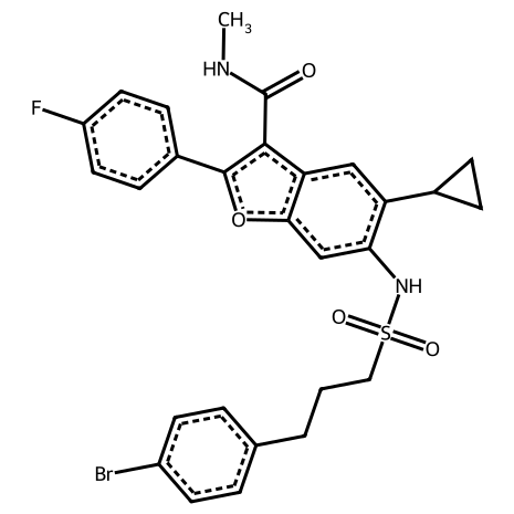 CNC(=O)c1c(-c2ccc(F)cc2)oc2cc(NS(=O)(=O)CCCc3ccc(Br)cc3)c(C3CC3)cc12